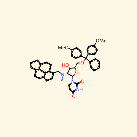 COc1ccc(C(OC[C@H]2O[C@@H](n3ccc(=O)[nH]c3=O)[C@H](N(C)Cc3ccc4ccc5cccc6ccc3c4c56)[C@@H]2O)(c2ccccc2)c2ccc(OC)cc2)cc1